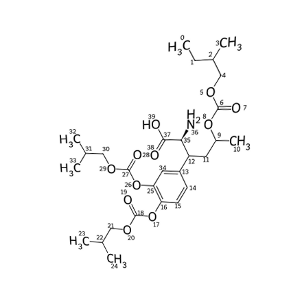 CCC(C)COC(=O)OC(C)CC(c1ccc(OC(=O)OCC(C)C)c(OC(=O)OCC(C)C)c1)[C@H](N)C(=O)O